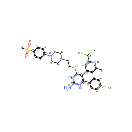 Cc1cc(-c2c(OCCN3CCN(c4ccc(S(C)(=O)=O)cc4)CC3)nc(N)nc2-c2ccc(F)cc2)cc(C(F)F)n1